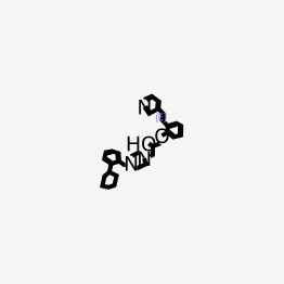 OC(COc1ccccc1/C=C/c1cccnc1)CN1CCN(Cc2ccccc2C2CCCCC2)CC1